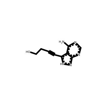 Nc1ncnc2n[nH]c(C#CCCO)c12